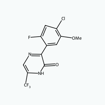 COc1cc(-c2ncc(C(F)(F)F)[nH]c2=O)c(F)cc1Cl